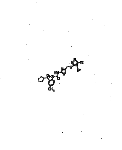 CCc1nnc(SCc2csc(NC(=O)Nc3ccc(C)cc3C(=O)C3CCCC3)n2)n1C1CC1